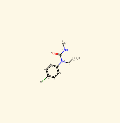 CCCNC(=O)N(CC(=O)O)c1ccc(F)cc1